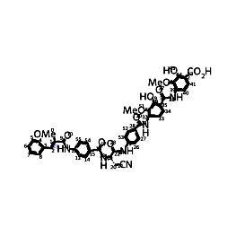 CO/C(=C\c1ccccc1)C(=O)Nc1ccc(C(=O)N[C@@H](CC#N)C(=O)Nc2ccc(C(=O)Nc3ccc(C(=O)Nc4ccc(C(=O)O)c(O)c4OC)c(O)c3OC)cc2)cc1